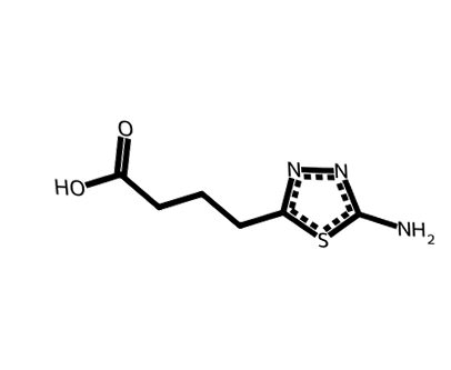 Nc1nnc(CCCC(=O)O)s1